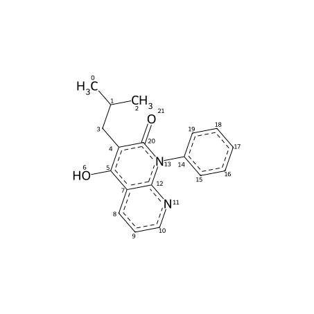 CC(C)Cc1c(O)c2cccnc2n(-c2ccccc2)c1=O